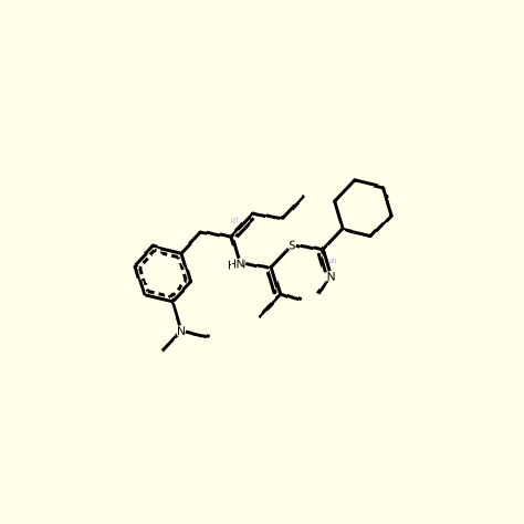 CC/C=C(/Cc1cccc(N(C)C)c1)NC(S/C(=N\C)C1CCCCC1)=C(C)C